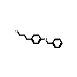 ClC[CH]Cc1ccc(OCc2ccccc2)cc1